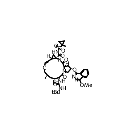 CC[C@@H]1C[C@@H](C)CCC=C[C@@H]2C[C@@]2(C(=O)NS(=O)(=O)C2(C)CC2)NC(=O)[C@@H]2C[C@@H](Oc3nnc(OC)c4ccccc34)CN2C(=O)[C@H]1NC(=O)NC(C)(C)C